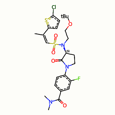 CC(=CS(=O)(=O)N(CCOC(C)(C)C)[C@H]1CCN(c2ccc(C(=O)N(C)C)cc2F)C1=O)c1ccc(Cl)s1